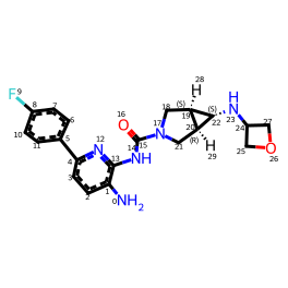 Nc1ccc(-c2ccc(F)cc2)nc1NC(=O)N1C[C@@H]2[C@H](C1)[C@H]2NC1COC1